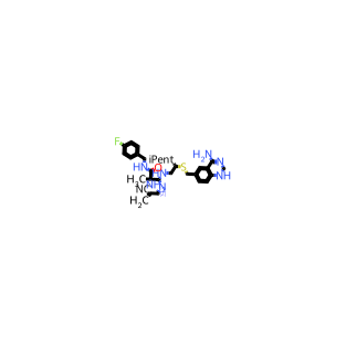 C=C(C#N)/C=N\C(NCC(SCc1ccc2c(c1)C(N)=NCN2)C(C)CCC)C(C)(N)C(=O)NCc1ccc(F)cc1